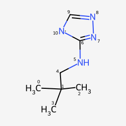 CC(C)(C)CNC1=NN=C[N]1